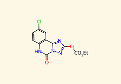 CCOC(=O)Oc1nc2c3cc(Cl)ccc3[nH]c(=O)n2n1